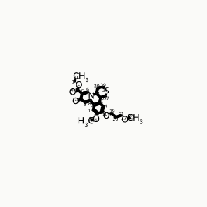 CCOC(=O)c1cn2c(cc1=O)-c1cc(OC)c(OCCCOC)cc1C1CSCCC12